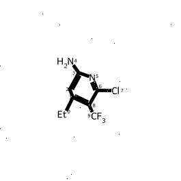 CCc1cc(N)nc(Cl)c1C(F)(F)F